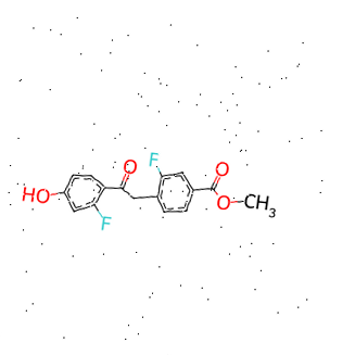 COC(=O)c1ccc(CC(=O)c2ccc(O)cc2F)c(F)c1